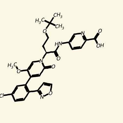 COc1cn([C@@H](CCOC(C)(C)C)C(=O)Nc2ccc(C(=O)O)nc2)c(=O)cc1-c1cc(Cl)ccc1-c1ccon1